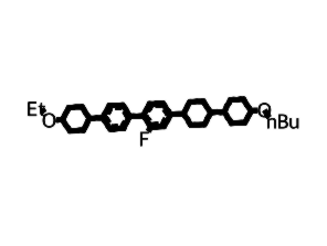 CCCCOC1CCC(C2CCC(c3ccc(-c4ccc(C5CCC(OCC)CC5)cc4)c(F)c3)CC2)CC1